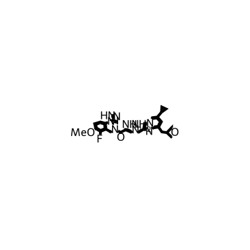 COc1ccc(-n2cn[nH]2)c(CNC(=O)/C(N)=C/N(N)Cc2cn3cc(C4CC4)cc(CC4COC4)c3n2)c1F